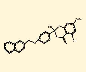 COc1cc(O)c2c(c1)OC(O)(c1ccc(OCc3ccc4ccccc4c3)cc1)CC2=O